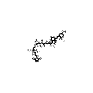 C=C1CC[C@H](O)C/C1=C/C=C1\CCC[C@]2(C)[C@@H]([C@H](C)CCCC(=O)NCCC(C)(C)OCCC(C)(C)NC(=O)CCN3C(=O)C=CC3=O)CC[C@@H]12